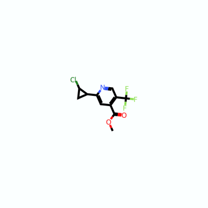 COC(=O)c1cc(C2CC2Cl)ncc1C(F)(F)F